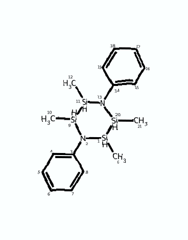 C[SiH]1N(c2ccccc2)[SiH](C)[SiH](C)N(c2ccccc2)[SiH]1C